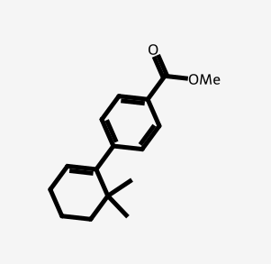 COC(=O)c1ccc(C2=CCCCC2(C)C)cc1